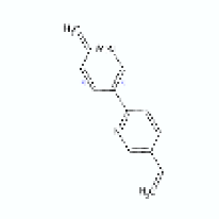 C=C/C=C\C(=C/NC)c1ccc(C=C)cn1